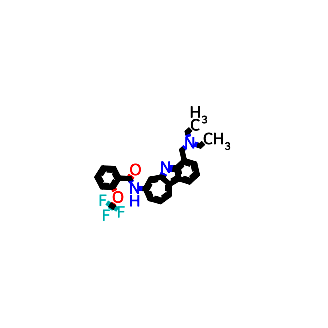 CCN(CC)Cc1cccc2c3cccc(NC(=O)c4ccccc4OC(F)(F)F)cc-3nc12